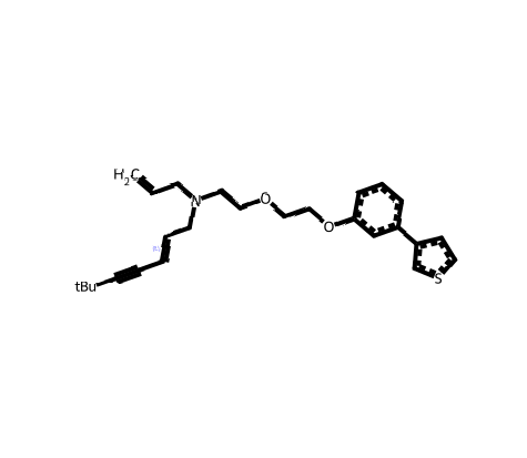 C=CCN(C/C=C/C#CC(C)(C)C)CCOCCOc1cccc(-c2ccsc2)c1